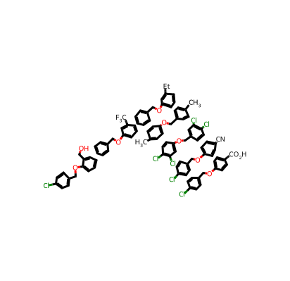 CCc1cccc(OCc2ccccc2)c1.Cc1ccc(COc2ccc(C)cc2)cc1.Clc1ccc(COc2ccc(Cl)c(Cl)c2)cc1Cl.FC(F)(F)c1cccc(OCc2ccccc2)c1.N#Cc1ccc(OCc2ccc(Cl)cc2)cc1.O=C(O)c1ccc(OCc2ccc(Cl)cc2)cc1.OCc1ccccc1OCc1ccc(Cl)cc1